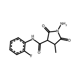 CC1C(=O)N(N)C(=O)C1C(=O)Nc1ccccc1F